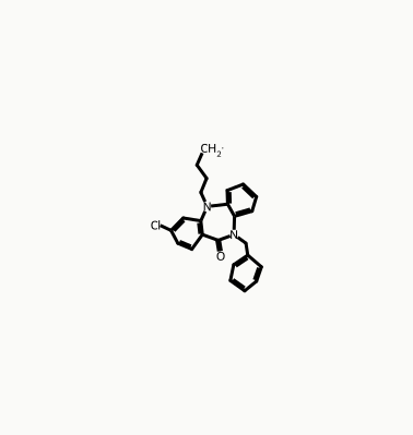 [CH2]CCCN1c2cc(Cl)ccc2C(=O)N(Cc2ccccc2)c2ccccc21